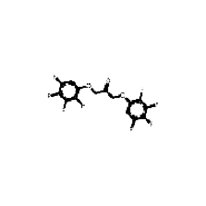 O=C(COc1cc(F)c(F)c(F)c1F)COc1cc(F)c(F)c(F)c1F